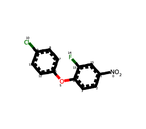 O=[N+]([O-])c1ccc(Oc2ccc(Cl)cc2)c(F)c1